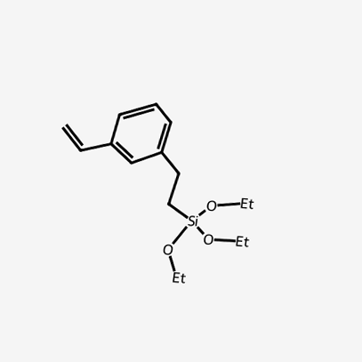 C=Cc1cccc(CC[Si](OCC)(OCC)OCC)c1